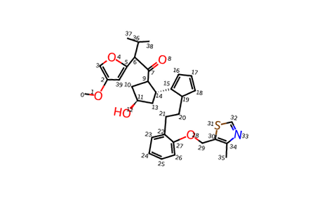 COc1coc(C(C(=O)C2C[C@H](O)C[C@H]2C2=CC=CC2CCc2ccccc2OCc2scnc2C)C(C)C)c1